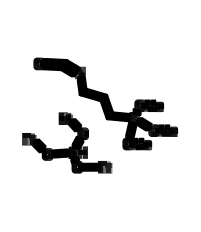 CCO[SiH](OCC)OCC.CO[Si](CCCN=C=O)(OC)OC